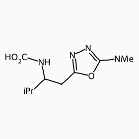 CNc1nnc(CC(NC(=O)O)C(C)C)o1